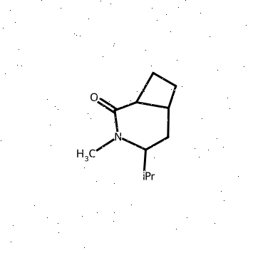 CC(C)C1CC2CCC2C(=O)N1C